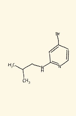 CC(C)CNc1cc(Br)ccn1